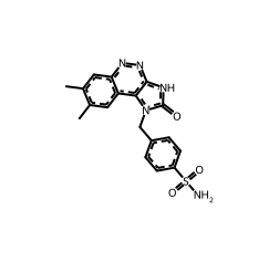 Cc1cc2nnc3[nH]c(=O)n(Cc4ccc(S(N)(=O)=O)cc4)c3c2cc1C